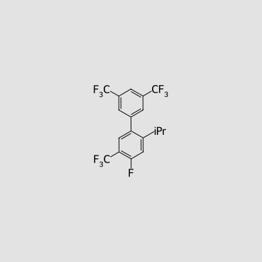 CC(C)c1cc(F)c(C(F)(F)F)cc1-c1cc(C(F)(F)F)cc(C(F)(F)F)c1